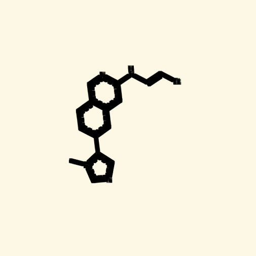 CC/C=C/Nc1cc2cc(-c3cncn3C)ccc2cn1